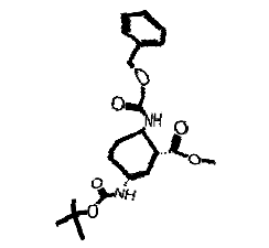 COC(=O)[C@@H]1C[C@H](NC(=O)OC(C)(C)C)CC[C@H]1NC(=O)OCc1ccccc1